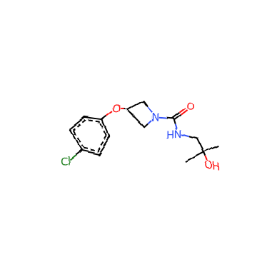 CC(C)(O)CNC(=O)N1CC(Oc2ccc(Cl)cc2)C1